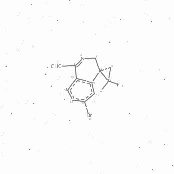 O=CC1=NCC2(CC2(F)F)c2cc(Br)ccc21